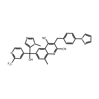 Cc1cc(C(O)(c2ccnc(C(F)(F)F)c2)c2cncn2C)cc2c(C#N)c(Cc3ccc(-n4cccn4)cc3)c(C#N)nc12